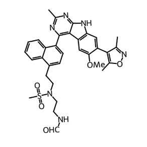 COc1cc2c(cc1-c1c(C)noc1C)[nH]c1nc(C)nc(-c3ccc(CCN(CCNC=O)S(C)(=O)=O)c4ccccc34)c12